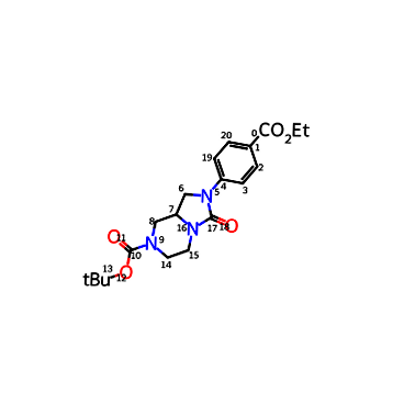 CCOC(=O)c1ccc(N2CC3CN(C(=O)OC(C)(C)C)CCN3C2=O)cc1